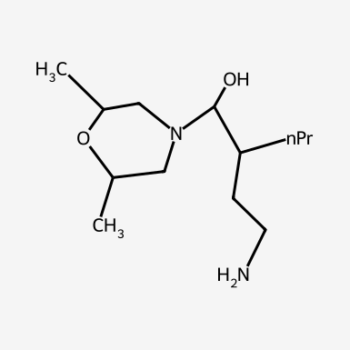 CCCC(CCN)C(O)N1CC(C)OC(C)C1